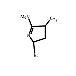 CCC1CC(C)C(NC)=N1